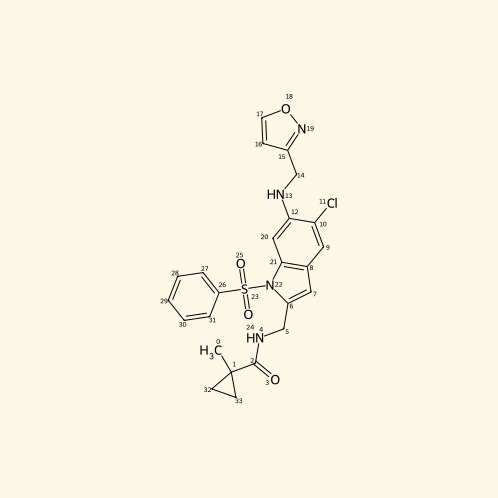 CC1(C(=O)NCc2cc3cc(Cl)c(NCc4ccon4)cc3n2S(=O)(=O)c2ccccc2)CC1